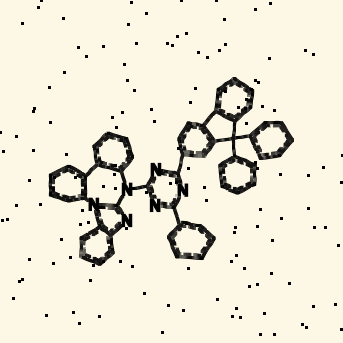 c1ccc(-c2nc(-c3ccc4c(c3)C(c3ccccc3)(c3ccccc3)c3ccccc3-4)nc(N3c4ccccc4-c4ccccc4-n4c3nc3ccccc34)n2)cc1